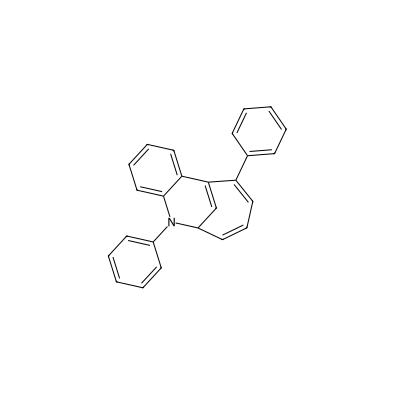 C1=CC2C=C(C(c3ccccc3)=C1)c1ccccc1N2c1ccccc1